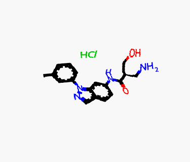 Cc1cccc(-n2ncc3ccc(NC(=O)[C@H](CN)CO)cc32)c1.Cl